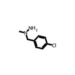 CN(N)Cc1ccc(Cl)cc1